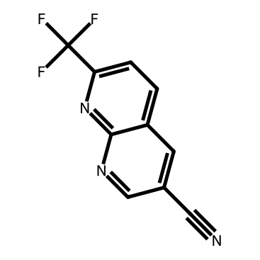 N#Cc1cnc2nc(C(F)(F)F)ccc2c1